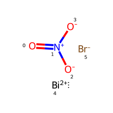 O=[N+]([O-])[O-].[Bi+2].[Br-]